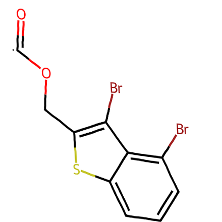 O=[C]OCc1sc2cccc(Br)c2c1Br